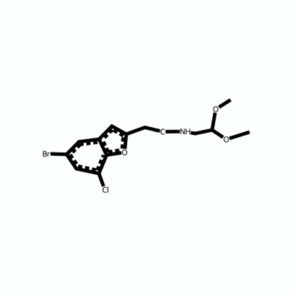 COC(CNCCc1cc2cc(Br)cc(Cl)c2o1)OC